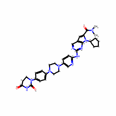 CN(C)C(=O)c1cc2cnc(Nc3ccc(N4CCN(c5ccc(N6CCC(=O)NC6=O)cc5)CC4)cn3)nc2n1C1CCCC1